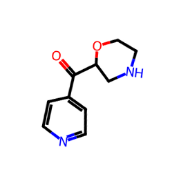 O=C(c1ccncc1)C1CNCCO1